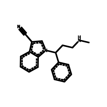 CNCCC(c1ccccc1)n1cc(C#N)c2ccccc21